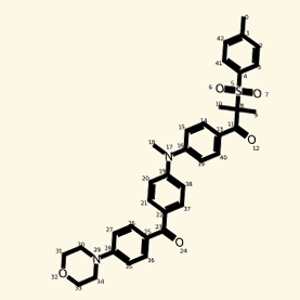 Cc1ccc(S(=O)(=O)C(C)(C)C(=O)c2ccc(N(C)c3ccc(C(=O)c4ccc(N5CCOCC5)cc4)cc3)cc2)cc1